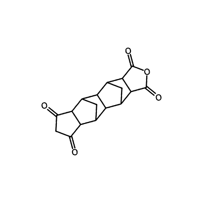 O=C1CC(=O)C2C3CC(C12)C1C2CC(C4C(=O)OC(=O)C24)C31